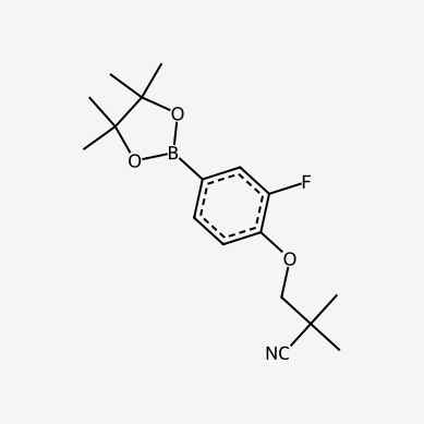 CC(C)(C#N)COc1ccc(B2OC(C)(C)C(C)(C)O2)cc1F